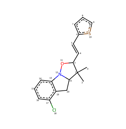 CC1(C)C(C=Cc2cccs2)ON2c3cccc(Cl)c3CC21